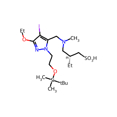 CCOc1nn(CCO[Si](C)(C)C(C)(C)C)c(CN(C)C[C@@H](CC)CS(=O)(=O)O)c1I